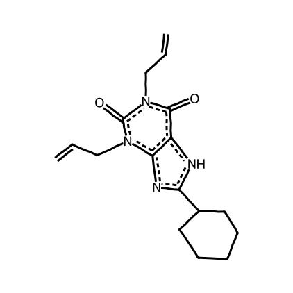 C=CCn1c(=O)c2[nH]c(C3CCCCC3)nc2n(CC=C)c1=O